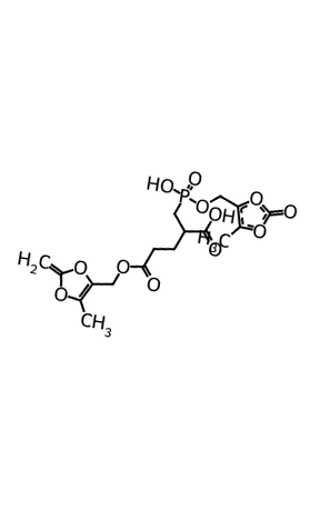 C=C1OC(C)=C(COC(=O)CCC(CP(=O)(O)OCc2oc(=O)oc2C)C(=O)O)O1